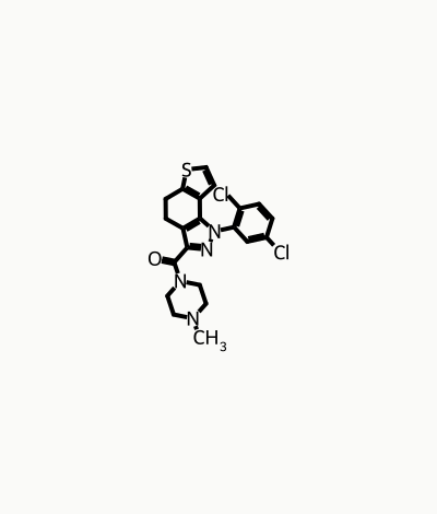 CN1CCN(C(=O)c2nn(-c3cc(Cl)ccc3Cl)c3c2CCc2sccc2-3)CC1